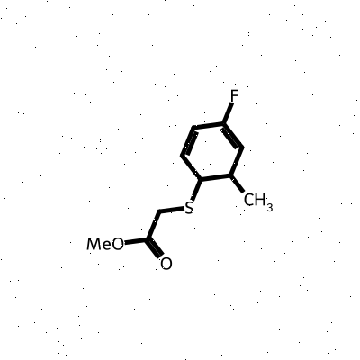 COC(=O)CSC1C=CC(F)=CC1C